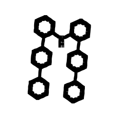 c1ccc(-c2ccc(-c3ccccc3Nc3ccccc3-c3ccc(-c4ccccc4)cc3)cc2)cc1